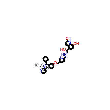 O=C(O)N(C(c1ccccc1)c1cccc(OCc2ccc(CNC[C@@H](O)c3ccc(O)c4[nH]c(=O)ccc34)nc2)c1)[C@H]1CN2CCC1CC2